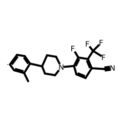 Cc1c[c]ccc1C1CCN(c2ccc(C#N)c(C(F)(F)F)c2F)CC1